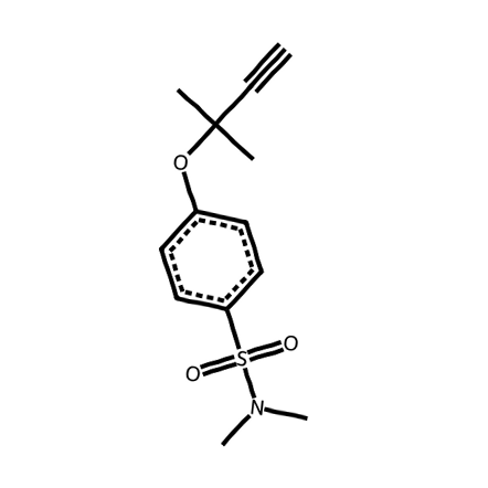 C#CC(C)(C)Oc1ccc(S(=O)(=O)N(C)C)cc1